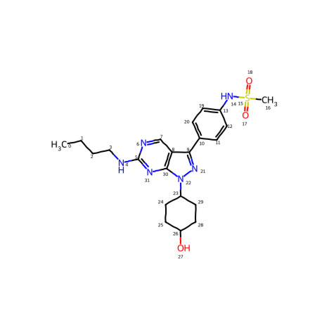 CCCCNc1ncc2c(-c3ccc(NS(C)(=O)=O)cc3)nn(C3CCC(O)CC3)c2n1